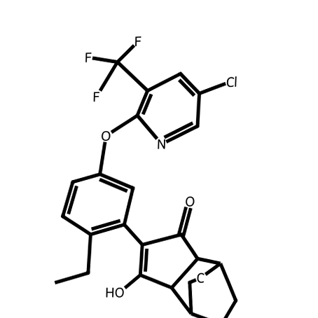 CCc1ccc(Oc2ncc(Cl)cc2C(F)(F)F)cc1C1=C(O)C2C3CCC(CC3)C2C1=O